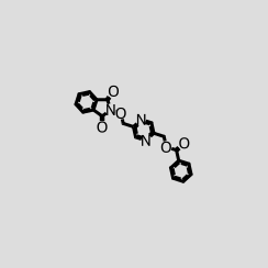 O=C(OCc1cnc(CON2C(=O)c3ccccc3C2=O)cn1)c1ccccc1